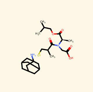 CC(C)COC(=O)[C@@H](C)N(CC(=O)O)C(=O)C(C)CS.NC12CC3CC(CC(C3)C1)C2